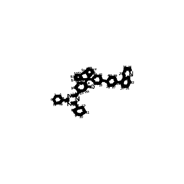 c1ccc(-c2nc(-c3ccccc3)nc(-c3ccc4c(c3)Oc3cc(-c5ccc(-c6cccc7ncccc67)cc5)ccc3C43c4ccccc4-c4ccccc43)n2)cc1